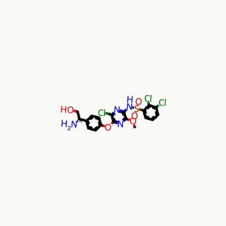 COc1nc(Oc2ccc([C@H](N)CO)cc2)c(Cl)nc1NS(=O)(=O)c1cccc(Cl)c1Cl